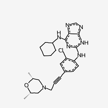 C[C@@H]1CN(CC#Cc2ccc(Nc3nc(NC4CCCCC4)c4ncnc-4[nH]3)c(Cl)c2)C[C@H](C)O1